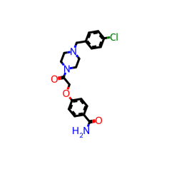 NC(=O)c1ccc(OCC(=O)N2CCN(Cc3ccc(Cl)cc3)CC2)cc1